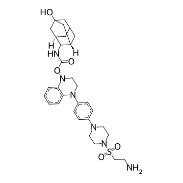 NCCS(=O)(=O)N1CCN(c2ccc(N3CCN(OC(=O)NC4[C@@H]5CC6C[C@H]4CC(O)(C6)C5)c4ccccc43)cc2)CC1